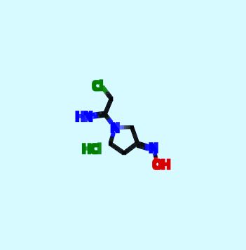 Cl.N=C(CCl)N1CCC(=NO)C1